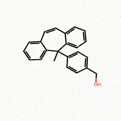 CC1(c2ccc(CO)cc2)c2ccccc2C=Cc2ccccc21